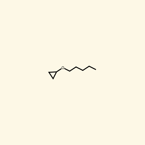 CCCCCOC1CC1